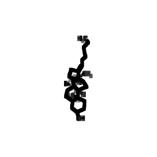 CCCCCC=C1CC[C@H]2[C@@H]3CCC4CC(O)CC[C@]4(C)[C@@H]3CC[C@]12C